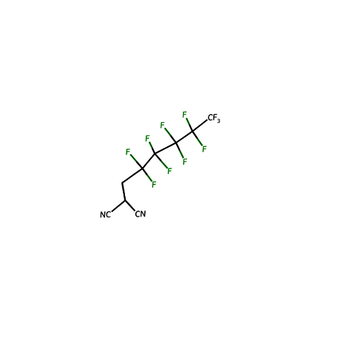 N#CC(C#N)CC(F)(F)C(F)(F)C(F)(F)C(F)(F)C(F)(F)F